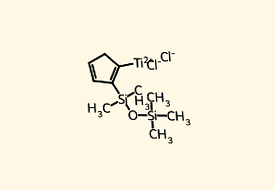 C[Si](C)(C)O[Si](C)(C)C1=[C]([Ti+2])CC=C1.[Cl-].[Cl-]